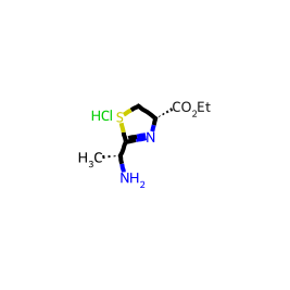 CCOC(=O)[C@H]1CSC([C@@H](C)N)=N1.Cl